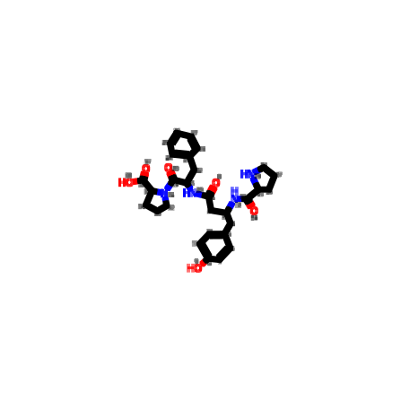 O=C(CC(Cc1ccc(O)cc1)NC(=O)C1CCCN1)NC(Cc1ccccc1)C(=O)N1CCCC1C(=O)O